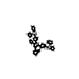 c1ccc(-c2cc(-c3ccccc3)c(-c3ccc(C4Nc5ccccc5N4c4ccccc4)cc3)nc2-c2ccc(-c3nc4ccccc4n3-c3ccccc3)cc2)cc1